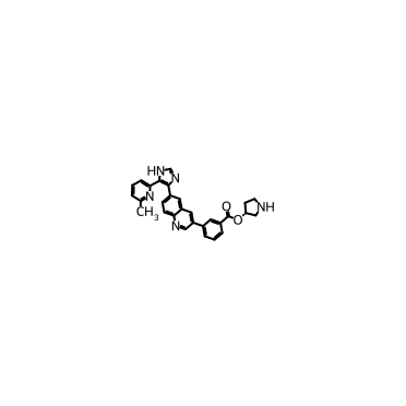 Cc1cccc(-c2[nH]cnc2-c2ccc3ncc(-c4cccc(C(=O)O[C@H]5CCNC5)c4)cc3c2)n1